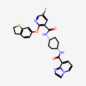 O=C(N[C@H]1CC[C@@H](NC(=O)c2cccn3ccnc23)CC1)c1cc(F)cnc1Oc1ccc2c(c1)SCC2